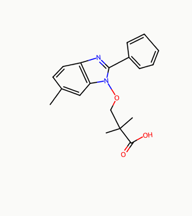 Cc1ccc2nc(-c3ccccc3)n(OCC(C)(C)C(=O)O)c2c1